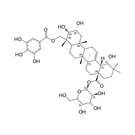 CC1(C)CC[C@]2(C(=O)O[C@@H]3OC(CO)[C@@H](O)C(O)[C@@H]3O)CC[C@]3(C)C(=CCC4[C@@]5(C)C[C@@H](O)[C@H](O)[C@@](C)(COC(=O)c6cc(O)c(O)c(O)c6)C5CC[C@]43C)[C@@H]2[C@@H]1O